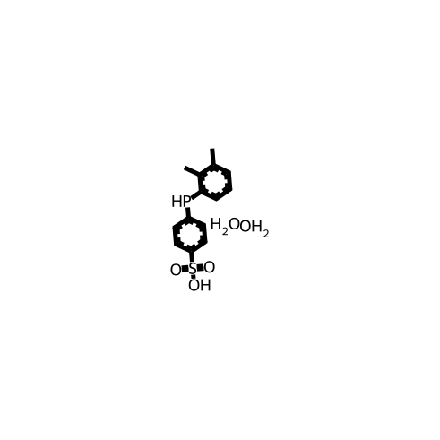 Cc1cccc(Pc2ccc(S(=O)(=O)O)cc2)c1C.O.O